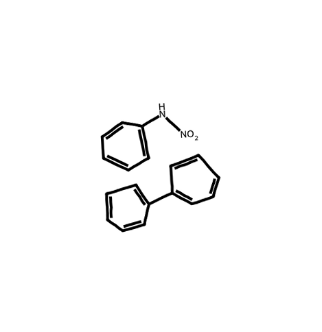 O=[N+]([O-])Nc1ccccc1.c1ccc(-c2ccccc2)cc1